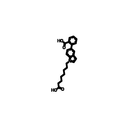 O=C(O)CCCCCCCn1ccc2cc(-c3ccccc3C(=O)O)ccc21